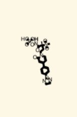 C[C@@](CCn1ccc(-c2ccc(-n3nccn3)cc2)cc1=O)(C(=O)NOP(=O)(O)O)S(C)(=O)=O